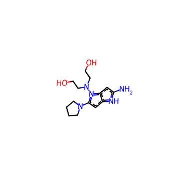 Nc1cc2c(cc(N3CCCC3)n2N(CCO)CCO)[nH]1